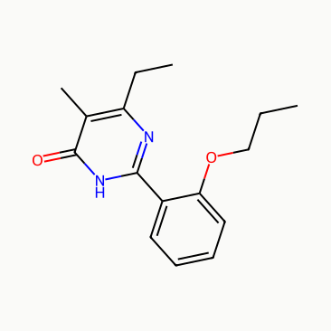 CCCOc1ccccc1-c1nc(CC)c(C)c(=O)[nH]1